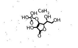 O=C1O[C@H]([C@@H](O)CO)C(OP(=O)(O)O)=C1O.[CaH2]